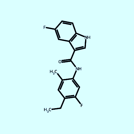 CCc1cc(C)c(NC(=O)c2c[nH]c3ccc(F)cc23)cc1F